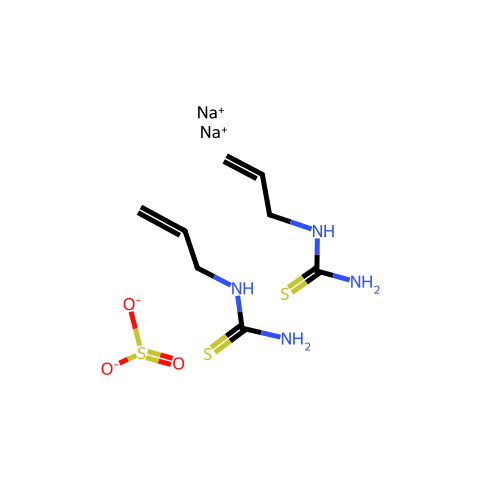 C=CCNC(N)=S.C=CCNC(N)=S.O=S([O-])[O-].[Na+].[Na+]